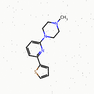 CN1CCN(c2cccc(-c3cccs3)n2)CC1